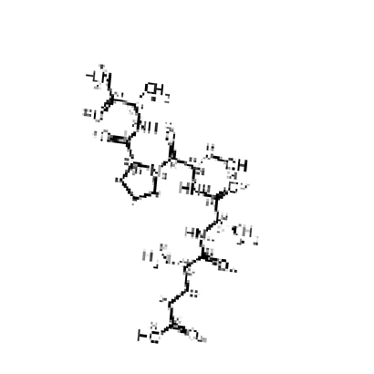 C[C@H](NC(=O)[C@@H]1CCCN1C(=O)[C@H](CO)NC(=O)[C@H](C)NC(=O)[C@@H](N)CCC(=O)O)C(N)=O